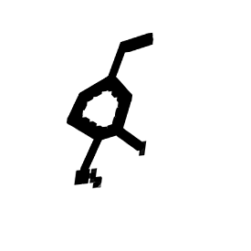 Bc1ccc(C=C)cc1I